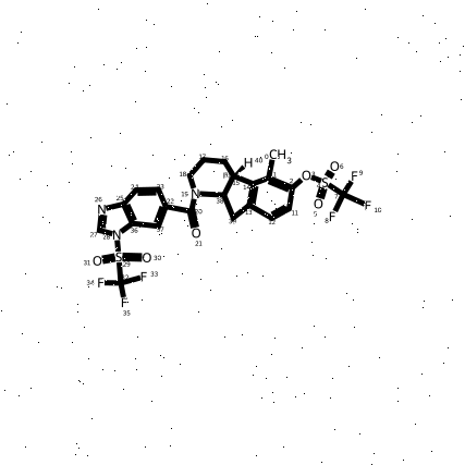 Cc1c(OS(=O)(=O)C(F)(F)F)ccc2c1[C@H]1CCCN(C(=O)c3ccc4ncn(S(=O)(=O)C(F)(F)F)c4c3)C1C2